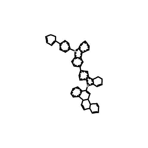 C1=CCCC(c2ccc(-n3c4ccccc4c4cc(-c5ccc6c(c5)c5c(n6C6=CC7C(C=CC8C=CC=CC87)c7ccccc76)C=CCC5)ccc43)cc2)=C1